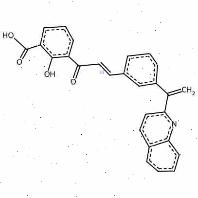 C=C(c1cccc(/C=C/C(=O)c2cccc(C(=O)O)c2O)c1)c1ccc2ccccc2n1